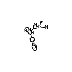 N#CCC(C1CC1)n1cc(-c2nc(-c3ccc(N4CC5CCC(C4)O5)cc3)cc3nccn23)cn1